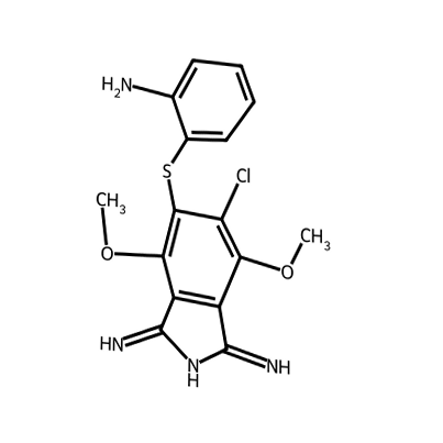 COc1c(Cl)c(Sc2ccccc2N)c(OC)c2c1C(=N)NC2=N